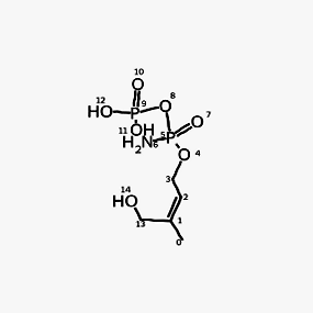 CC(=CCOP(N)(=O)OP(=O)(O)O)CO